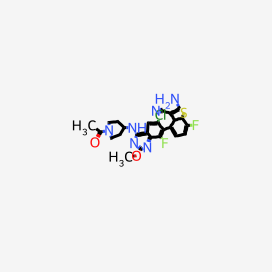 COc1nc(NC2CCN(C(C)=O)CC2)c2cc(Cl)c(C3=CC=C(F)C4SC(N)=C(C#N)C34)c(F)c2n1